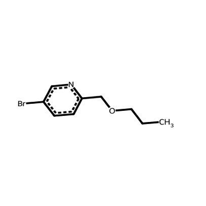 CCCOCc1ccc(Br)cn1